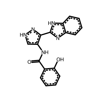 O=C(Nc1c[nH]nc1-c1nc2ccccc2[nH]1)c1ccccc1O